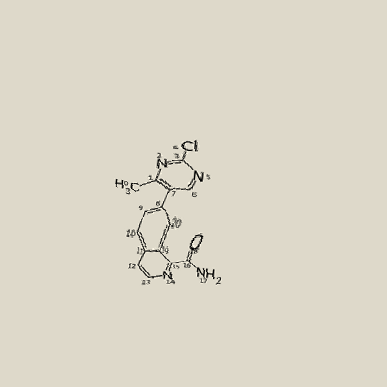 Cc1nc(Cl)ncc1-c1ccc2c[c]nc(C(N)=O)c2c1